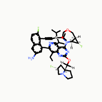 [2H]C([2H])(Oc1nc(N2CCOC[C@H]3[C@H](F)[C@H]32)c2cnc(-c3cc(N)cc4ccc(F)c(C#C[Si](C(C)C)(C(C)C)C(C)C)c34)c(CC)c2n1)[C@@]12CCCN1C[C@H](F)C2